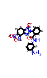 Nc1cccc(NC(=O)c2ccccc2-n2nc3c([n+]2[O-])CCc2c-3no[n+]2[O-])c1